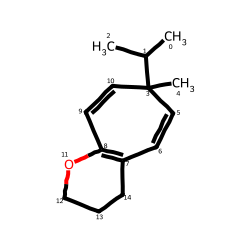 CC(C)C1(C)C=CC2=C(C=C1)OCCC2